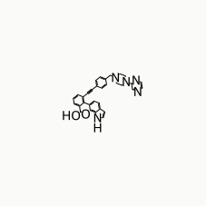 O=C(O)c1cccc(C#Cc2ccc(CN3CCN(c4cnccn4)CC3)cc2)c1-c1ccc2cc[nH]c2c1